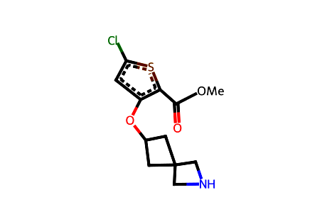 COC(=O)c1sc(Cl)cc1OC1CC2(CNC2)C1